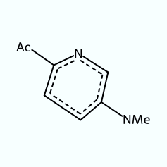 CNc1ccc(C(C)=O)nc1